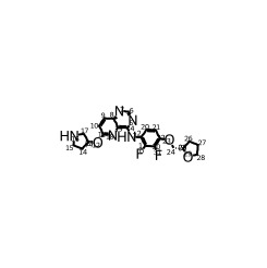 Fc1c(Nc2ncnc3ccc(O[C@H]4CCNC4)nc23)ccc(OC[C@@H]2CCCO2)c1F